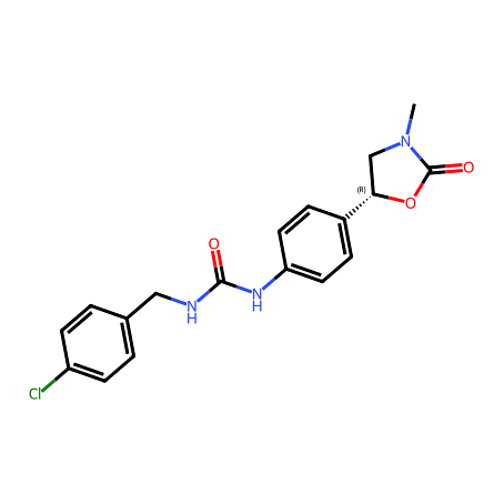 CN1C[C@@H](c2ccc(NC(=O)NCc3ccc(Cl)cc3)cc2)OC1=O